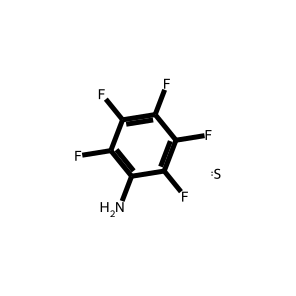 Nc1c(F)c(F)c(F)c(F)c1F.[S]